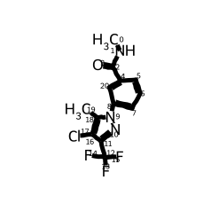 CNC(=O)c1cccc(-n2nc(C(F)(F)F)c(Cl)c2C)c1